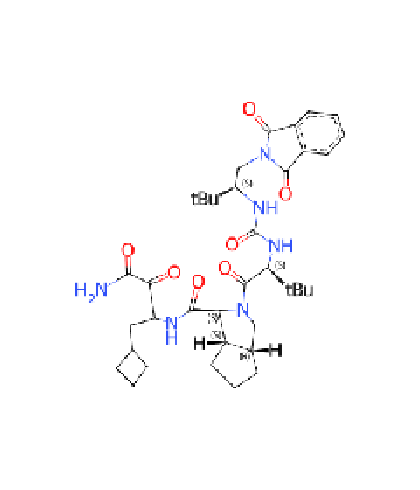 CC(C)(C)[C@H](NC(=O)N[C@H](CN1C(=O)c2ccccc2C1=O)C(C)(C)C)C(=O)N1C[C@@H]2CCC[C@@H]2[C@H]1C(=O)NC(CC1CCC1)C(=O)C(N)=O